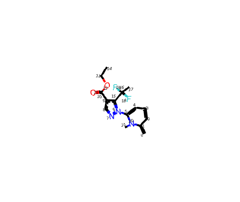 C=C1C=CC=C(n2ncc(C(=O)OCC)c2C(C)(F)F)N1C